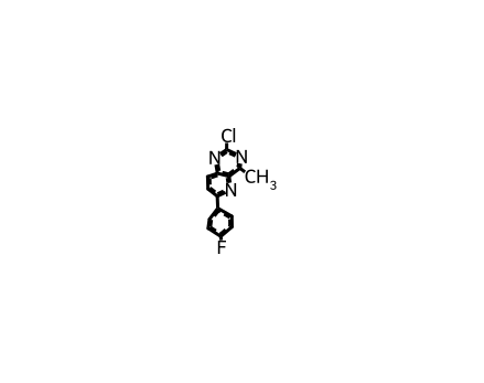 Cc1nc(Cl)nc2ccc(-c3ccc(F)cc3)nc12